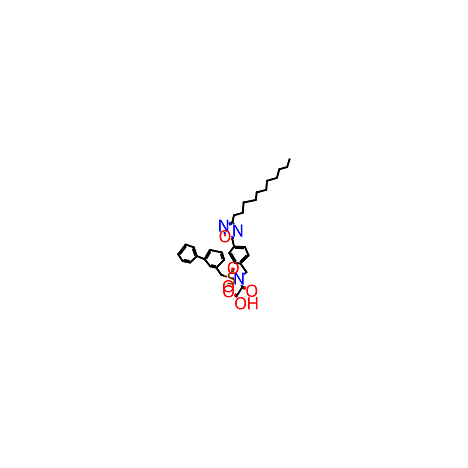 CCCCCCCCCCCc1noc(-c2ccc(CN(C(=O)C(=O)O)S(=O)(=O)Cc3cccc(-c4ccccc4)c3)cc2)n1